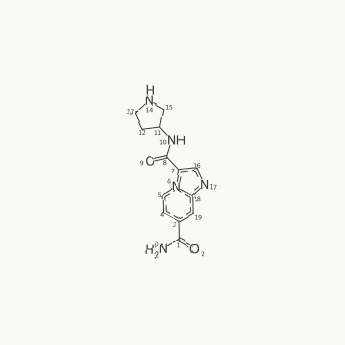 NC(=O)c1ccn2c(C(=O)NC3CCNC3)cnc2c1